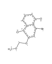 COCOc1cc(Br)c2c(Cl)cccc2c1Cl